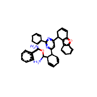 NC(OC(N)C1C=CC=CC1c1cc(C2CC=Cc3oc4c(c32)C=CCC4)nc(C2=CCCC=C2)n1)c1ccccc1